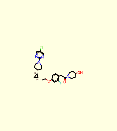 O=C(Cc1ccc(OCC[C@@H]2C[C@@H]2C2CCN(c3ncc(Cl)cn3)CC2)cc1F)N1CCC(O)CC1